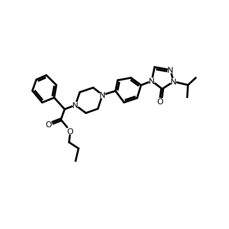 CCCOC(=O)C(c1ccccc1)N1CCN(c2ccc(-n3cnn(C(C)C)c3=O)cc2)CC1